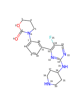 O=C1OCCCN1c1cccc(-c2nc(NC3CCNCC3)ncc2F)c1